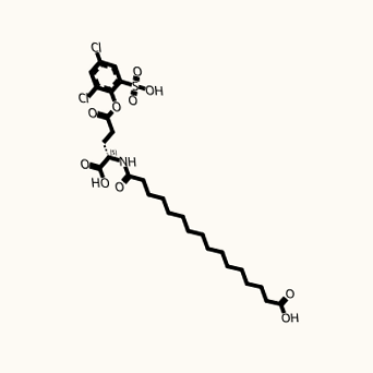 O=C(O)CCCCCCCCCCCCCCC(=O)N[C@@H](CCC(=O)Oc1c(Cl)cc(Cl)cc1S(=O)(=O)O)C(=O)O